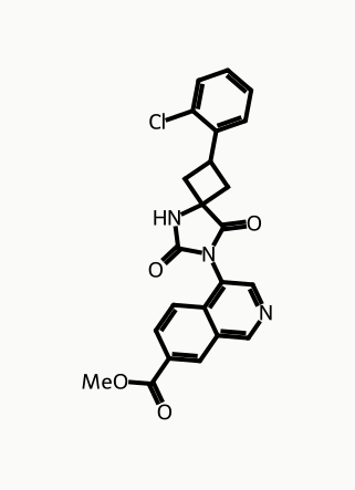 COC(=O)c1ccc2c(N3C(=O)NC4(CC(c5ccccc5Cl)C4)C3=O)cncc2c1